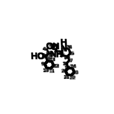 O=C(N[C@H](CO)[C@H](O)c1ccccc1)[C@@H]1C[C@H](CCc2ccccc2)CCN1